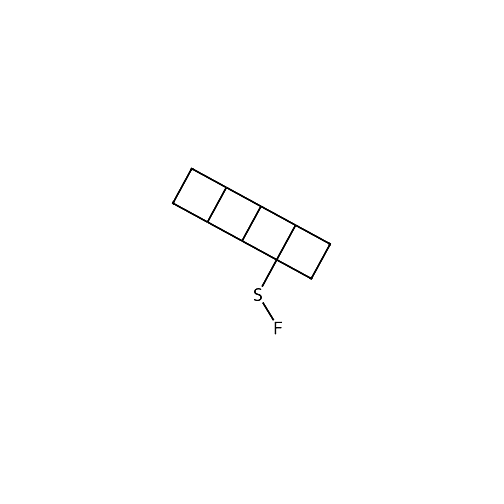 FSC12CCC1C1C3CCC3C12